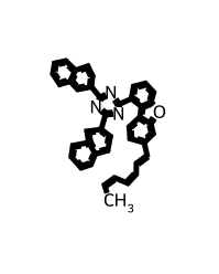 C\C=C/C=C\C=C\c1ccc2c(c1)oc1cccc(-c3nc(-c4ccc5ccccc5c4)nc(-c4ccc5ccccc5c4)n3)c12